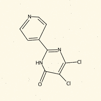 O=c1[nH]c(-c2ccncc2)nc(Cl)c1Cl